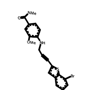 CNC(=O)c1ccc(NCC#Cc2cc3cccc(Br)c3s2)c(OC)c1